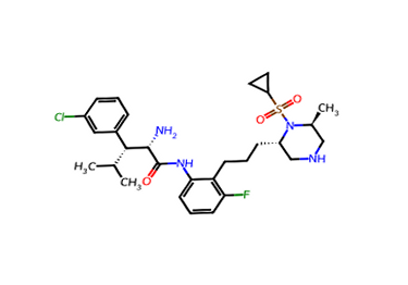 CC(C)[C@H](c1cccc(Cl)c1)[C@H](N)C(=O)Nc1cccc(F)c1CCC[C@H]1CNC[C@H](C)N1S(=O)(=O)C1CC1